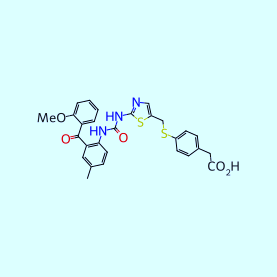 COc1ccccc1C(=O)c1cc(C)ccc1NC(=O)Nc1ncc(CSc2ccc(CC(=O)O)cc2)s1